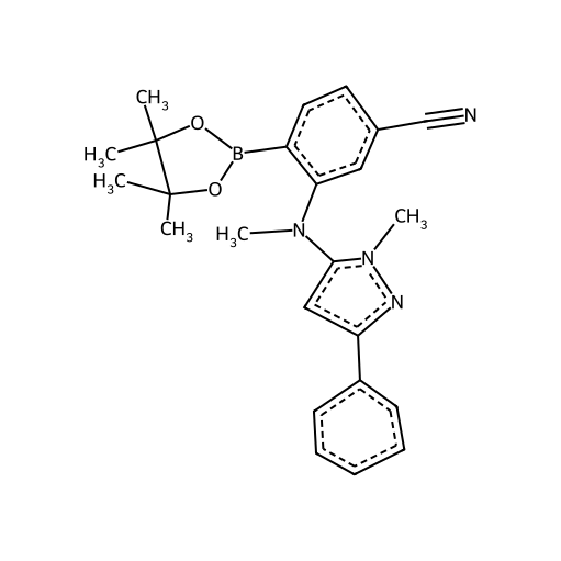 CN(c1cc(C#N)ccc1B1OC(C)(C)C(C)(C)O1)c1cc(-c2ccccc2)nn1C